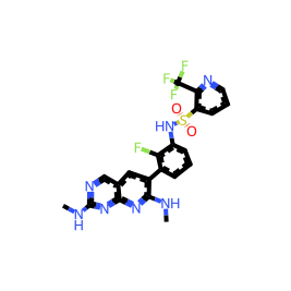 CNc1ncc2cc(-c3cccc(NS(=O)(=O)c4cccnc4C(F)(F)F)c3F)c(NC)nc2n1